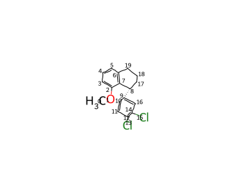 COc1cccc2c1[C@@H](c1ccc(Cl)c(Cl)c1)CCC2